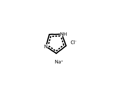 [Cl-].[Na+].c1c[nH]cn1